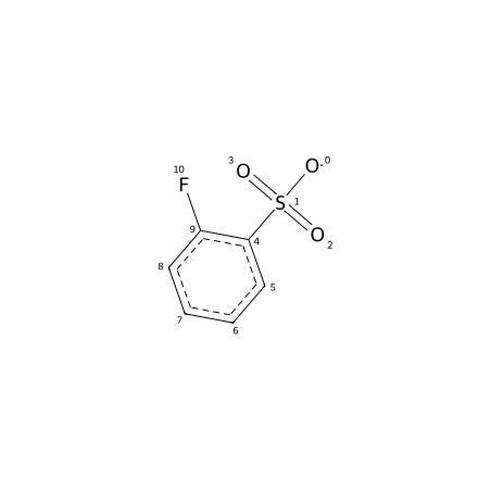 [O]S(=O)(=O)c1ccccc1F